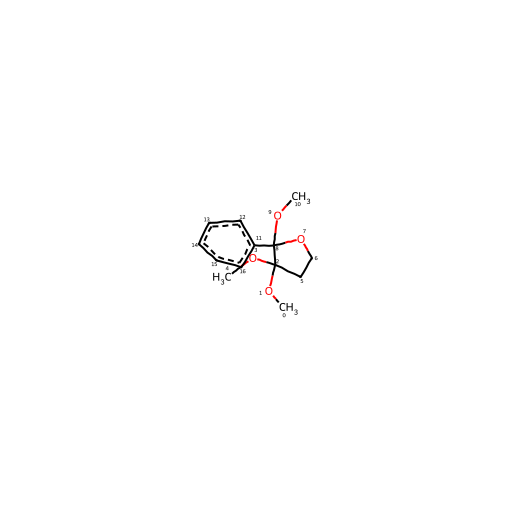 COC1(OC)CCOC1(OC)c1ccccc1